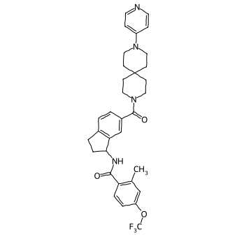 Cc1cc(OC(F)(F)F)ccc1C(=O)NC1CCc2ccc(C(=O)N3CCC4(CC3)CCN(c3ccncc3)CC4)cc21